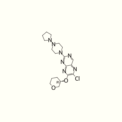 Clc1nc2cnc(N3CCN(N4CCCC4)CC3)nc2nc1O[C@@H]1CCCOC1